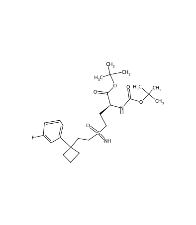 CC(C)(C)OC(=O)N[C@@H](CCS(=N)(=O)CCC1(c2cccc(F)c2)CCC1)C(=O)OC(C)(C)C